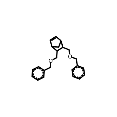 C1=CC2CC1C(COCc1ccccc1)C2COCc1ccccc1